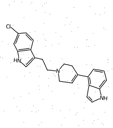 Clc1ccc2c(CCN3CC=C(c4cccc5[nH]ccc45)CC3)c[nH]c2c1